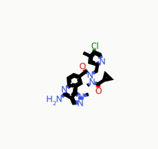 Cc1cc(CN(C(=O)c2ccc3nc(N)c4cnn(C)c4c3c2)N(C)C(=O)C2CC2)ncc1Cl